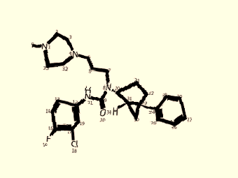 CN1CCN(CCCN(C(=O)Nc2ccc(F)c(Cl)c2)[C@@H]2CC[C@]3(c4ccccc4)C[C@H]23)CC1